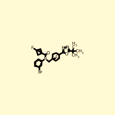 CC(C)(C)c1nnc(C23CCC(CN(C(=O)C45CC(F)(C4)C5)c4cccc(Br)c4)(CC2)CC3)o1